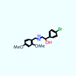 COc1ccc(CNCC(O)c2ccc(Br)cc2)c(OC)c1